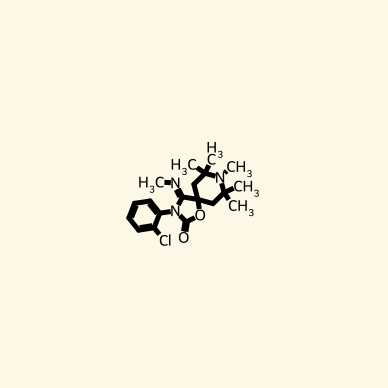 CN=C1N(c2ccccc2Cl)C(=O)OC12CC(C)(C)N(C)C(C)(C)C2